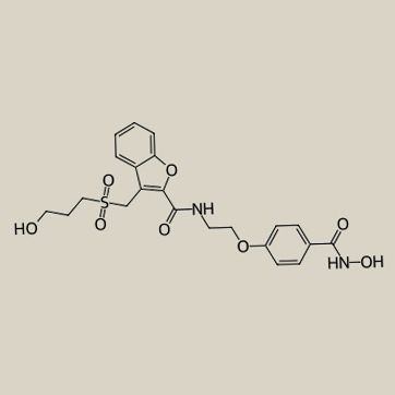 O=C(NO)c1ccc(OCCNC(=O)c2oc3ccccc3c2CS(=O)(=O)CCCO)cc1